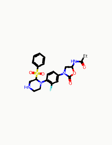 CCC(=O)NC1CN(c2ccc(N3CCNCC3S(=O)(=O)c3ccccc3)c(F)c2)C(=O)O1